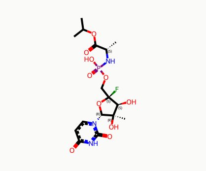 CC(C)OC(=O)[C@H](C)NP(=O)(O)OC[C@@]1(F)O[C@@H](n2ccc(=O)[nH]c2=O)[C@](C)(O)[C@@H]1O